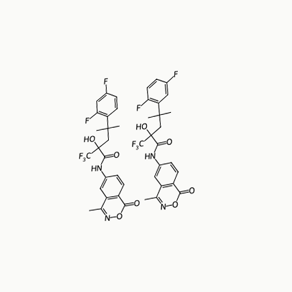 Cc1noc(=O)c2ccc(NC(=O)C(O)(CC(C)(C)c3cc(F)ccc3F)C(F)(F)F)cc12.Cc1noc(=O)c2ccc(NC(=O)C(O)(CC(C)(C)c3ccc(F)cc3F)C(F)(F)F)cc12